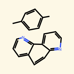 Cc1ccc(C)cc1.c1cnc2c(c1)ccc1ncccc12